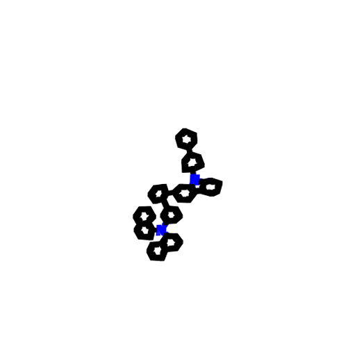 c1ccc(-c2ccc(-n3c4ccccc4c4ccc(-c5ccccc5-c5cccc(N(c6cccc7ccccc67)c6cccc7ccccc67)c5)cc43)cc2)cc1